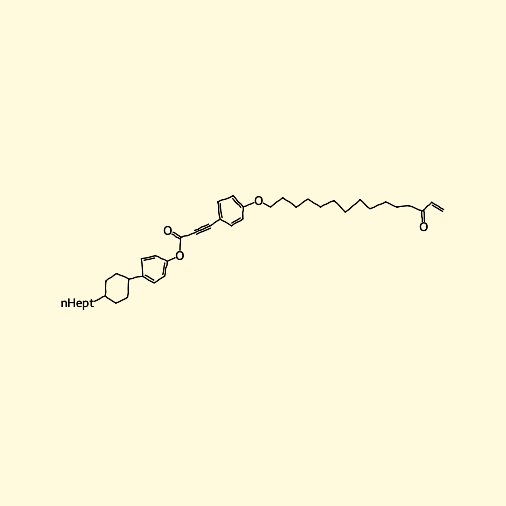 C=CC(=O)CCCCCCCCCCCCOc1ccc(C#CC(=O)Oc2ccc(C3CCC(CCCCCCC)CC3)cc2)cc1